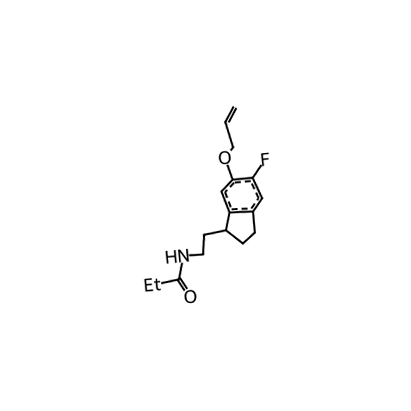 C=CCOc1cc2c(cc1F)CCC2CCNC(=O)CC